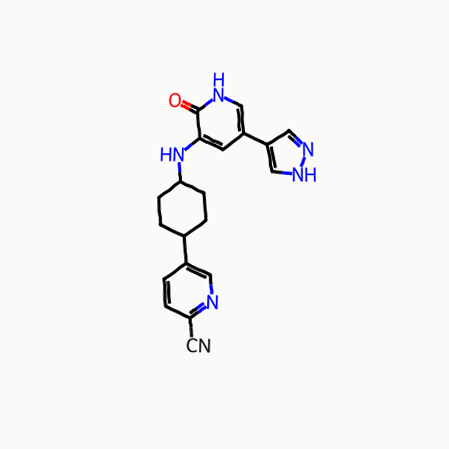 N#Cc1ccc(C2CCC(Nc3cc(-c4cn[nH]c4)c[nH]c3=O)CC2)cn1